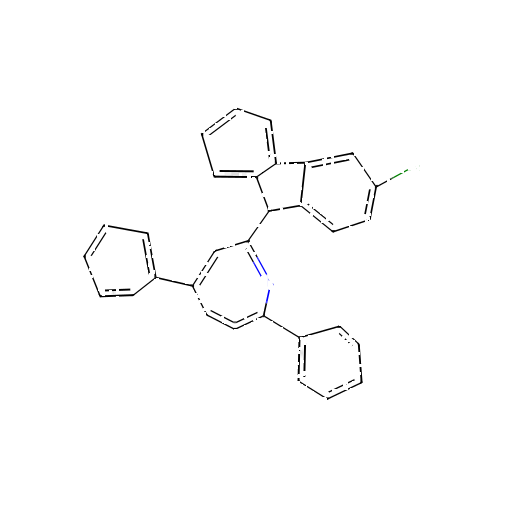 Brc1ccc2c(c1)-c1ccccc1C2C1=NC(c2ccccc2)=C=CC(c2ccccc2)=C1